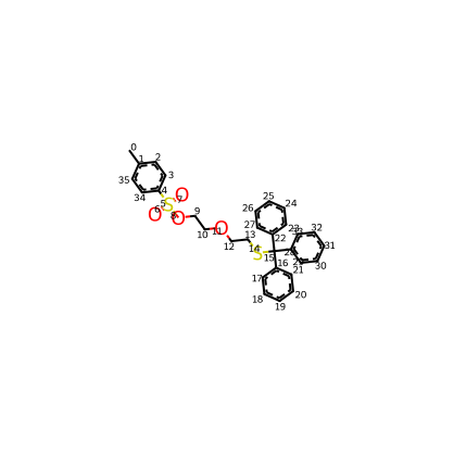 Cc1ccc(S(=O)(=O)OCCOCCSC(c2ccccc2)(c2ccccc2)c2ccccc2)cc1